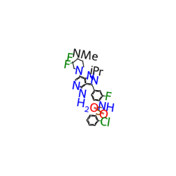 CNC1CCN(c2cnc(N)c3c(-c4ccc(NS(=O)(=O)c5ccccc5Cl)c(F)c4)nn(C(C)C)c23)CC1(F)F